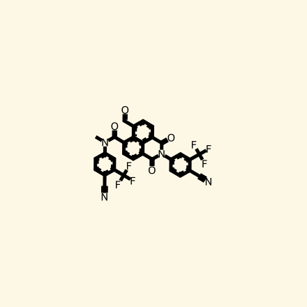 CN(C(=O)c1ccc2c3c(ccc(C=O)c13)C(=O)N(c1ccc(C#N)c(C(F)(F)F)c1)C2=O)c1ccc(C#N)c(C(F)(F)F)c1